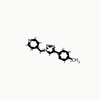 Cc1ccc(-c2cn(Cc3ccncc3)nn2)cc1